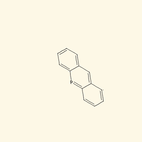 [c]1cccc2pc3ccccc3cc12